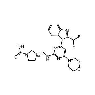 O=C(O)N1CC[C@@H](CNc2nc(N3CCOCC3)cc(-n3c(C(F)F)nc4ccccc43)n2)C1